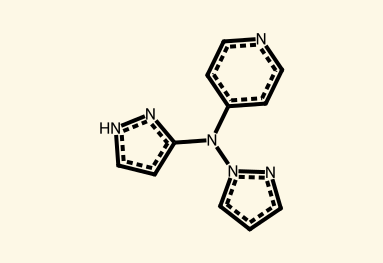 c1cnn(N(c2ccncc2)c2cc[nH]n2)c1